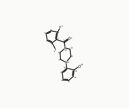 O=C(c1c(F)cccc1I)N1CCN(c2ccccc2Cl)CC1